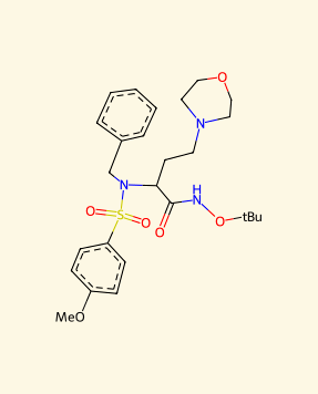 COc1ccc(S(=O)(=O)N(Cc2ccccc2)C(CCN2CCOCC2)C(=O)NOC(C)(C)C)cc1